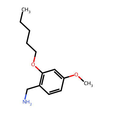 CCCCCOc1cc(OC)ccc1CN